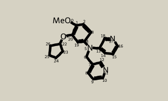 COc1ccc(N(Cc2cccnc2)c2cccnc2)cc1OC1CCCC1